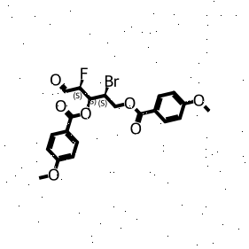 COc1ccc(C(=O)OC[C@H](Br)[C@@H](OC(=O)c2ccc(OC)cc2)[C@H](F)C=O)cc1